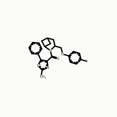 Cc1nc(C(=O)N2C(COc3ccc(F)cc3)CC3CC2C3)c(-c2ccccc2)s1